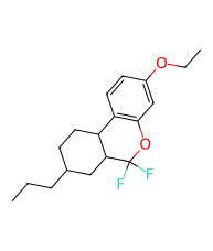 CCCC1CCC2c3ccc(OCC)cc3OC(F)(F)C2C1